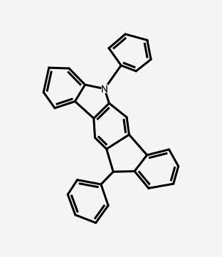 c1ccc(C2c3ccccc3-c3cc4c(cc32)c2ccccc2n4-c2ccccc2)cc1